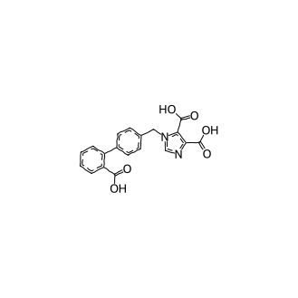 O=C(O)c1ccccc1-c1ccc(Cn2cnc(C(=O)O)c2C(=O)O)cc1